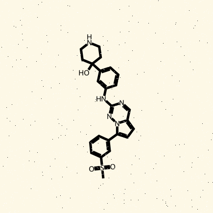 CS(=O)(=O)c1cccc(-c2ccc3cnc(Nc4cccc(C5(O)CCNCC5)c4)nn23)c1